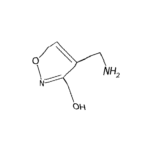 NCc1conc1O